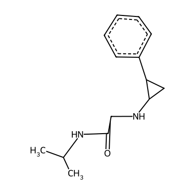 CC(C)NC(=O)CNC1CC1c1ccccc1